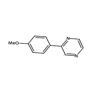 COc1ccc(-c2[c]nccn2)cc1